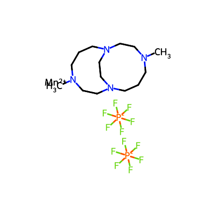 CN1CCCN2CCN(C)CCCN(CC1)CC2.F[P-](F)(F)(F)(F)F.F[P-](F)(F)(F)(F)F.[Mn+2]